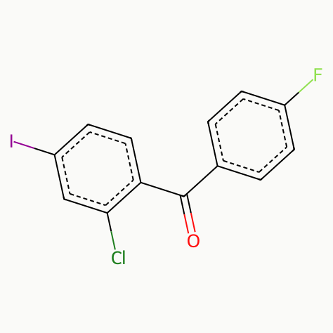 O=C(c1ccc(F)cc1)c1ccc(I)cc1Cl